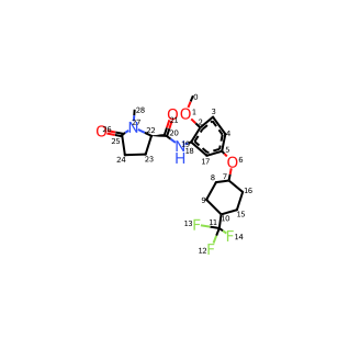 COc1ccc(OC2CCC(C(F)(F)F)CC2)cc1NC(=O)[C@H]1CCC(=O)N1C